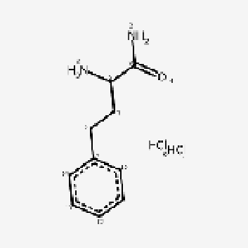 Cl.Cl.NC(=O)C(N)CCc1ccccc1